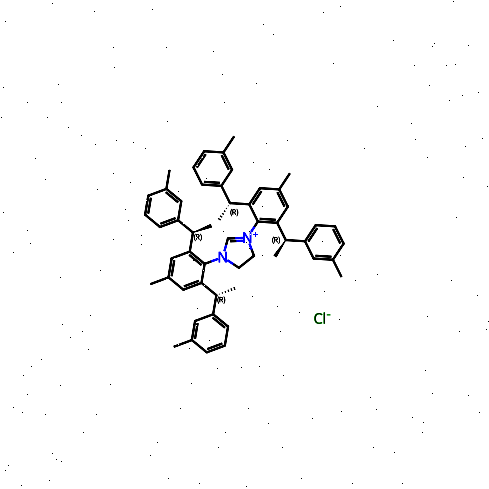 Cc1cccc([C@@H](C)c2cc(C)cc([C@H](C)c3cccc(C)c3)c2N2C=[N+](c3c([C@H](C)c4cccc(C)c4)cc(C)cc3[C@H](C)c3cccc(C)c3)CC2)c1.[Cl-]